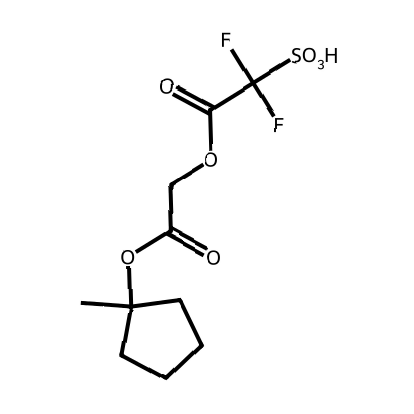 CC1(OC(=O)COC(=O)C(F)(F)S(=O)(=O)O)CCCC1